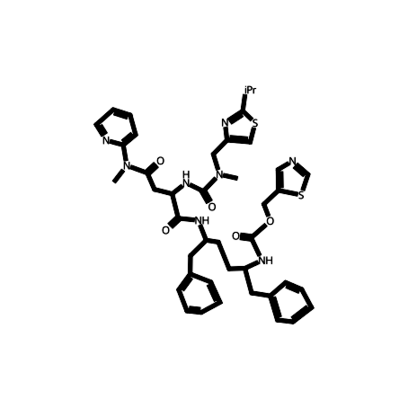 CC(C)c1nc(CN(C)C(=O)NC(CC(=O)N(C)c2ccccn2)C(=O)NC(CCC(Cc2ccccc2)NC(=O)OCc2cncs2)Cc2ccccc2)cs1